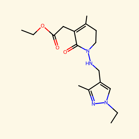 CCOC(=O)CC1=C(C)CCN(NCc2cn(CC)nc2C)C1=O